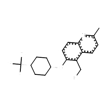 Cc1ccc2c(CF)c(O[C@H]3CC[C@@H](C(F)(F)F)CC3)ccc2n1